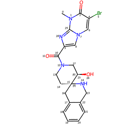 Cn1c(=O)c(Br)cn2cc(C(=O)N3CC[C@]4(Cc5ccccc5CN4)[C@H](O)C3)nc12